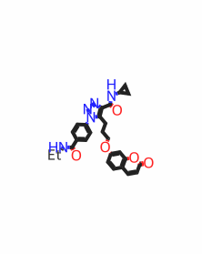 CCNC(=O)c1ccc(-n2nnc(C(=O)NC3CC3)c2CCCOc2ccc3ccc(=O)oc3c2)cc1